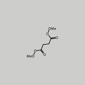 COOC(=O)CCC(=O)OOC